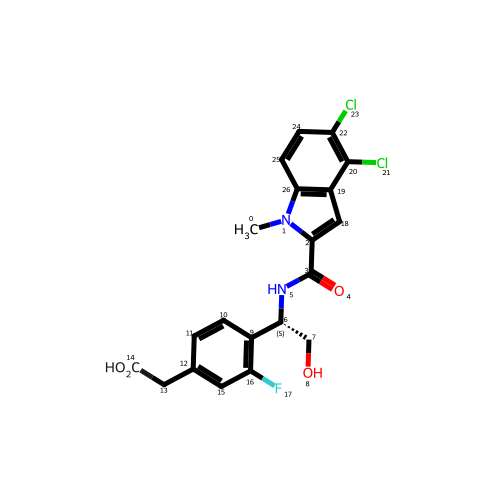 Cn1c(C(=O)N[C@H](CO)c2ccc(CC(=O)O)cc2F)cc2c(Cl)c(Cl)ccc21